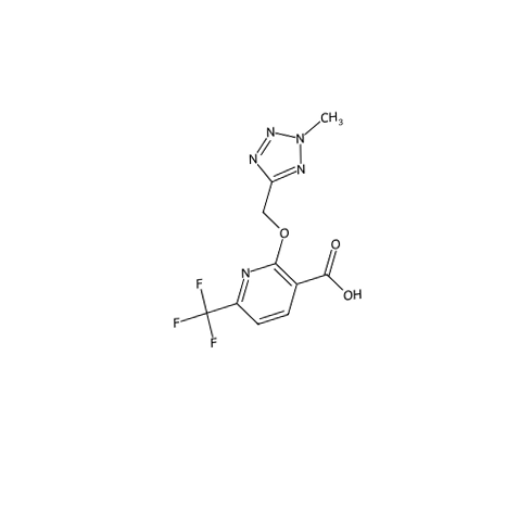 Cn1nnc(COc2nc(C(F)(F)F)ccc2C(=O)O)n1